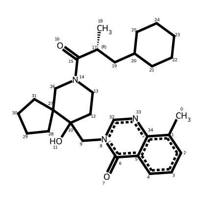 Cc1cccc2c(=O)n(CC3(O)CCN(C(=O)[C@H](C)CC4CCCCC4)CC34CCCC4)cnc12